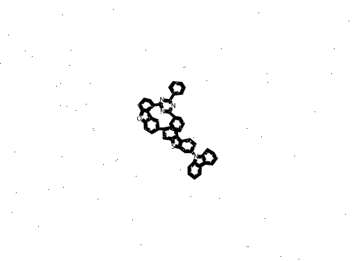 c1ccc(-c2nc(-c3ccccc3)nc(-c3cccc4oc5ccc(-c6ccc7c(c6)sc6cc(-n8c9ccccc9c9ccccc98)ccc67)cc5c34)n2)cc1